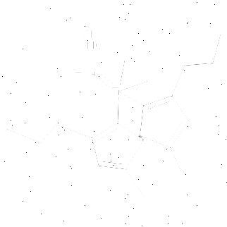 CCCC1=[C]([Ti]([CH3])([CH3])(=[SiH2])[C]2=C(CCC)C=C(C)C2)CC(C)=C1.Cl.Cl